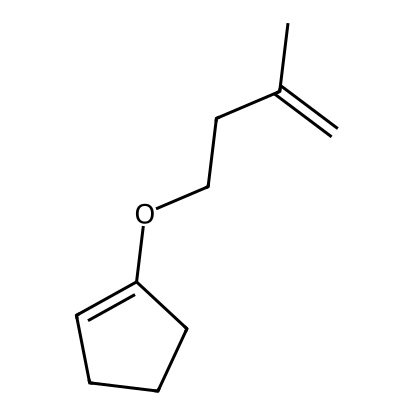 C=C(C)CCOC1=CCCC1